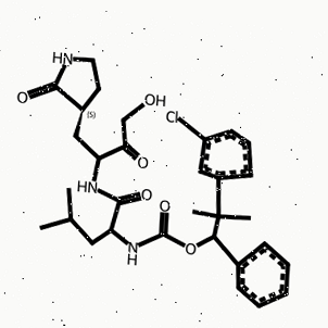 CC(C)CC(NC(=O)OC(c1ccccc1)C(C)(C)c1cccc(Cl)c1)C(=O)NC(C[C@@H]1CCNC1=O)C(=O)CO